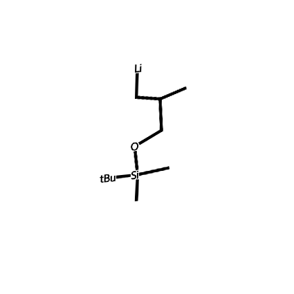 [Li][CH2]C(C)CO[Si](C)(C)C(C)(C)C